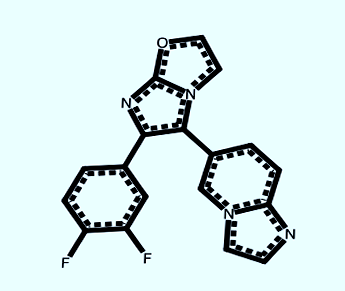 Fc1ccc(-c2nc3occn3c2-c2ccc3nccn3c2)cc1F